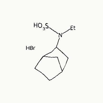 Br.CCN(C1CC2CCC1C2)S(=O)(=O)O